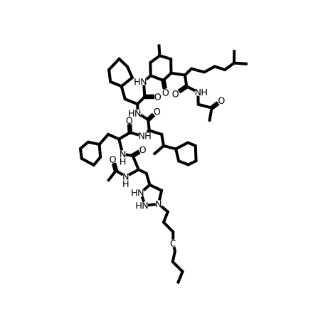 CCCCCCCCN1CC(CC(NC(C)=O)C(=O)NC(CC2CCCCC2)C(=O)NC(CC(C)C2CCCCC2)C(=O)NC(CC2CCCCC2)C(=O)NC2CC(C)CC(C(CCCCC(C)C)C(=O)NCC(C)=O)C2=O)NN1